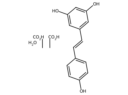 CC(=O)O.CC(=O)O.O.Oc1ccc(C=Cc2cc(O)cc(O)c2)cc1